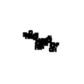 CC(C)C(=O)Nc1cncc(-c2ccc3[nH]nc(-c4nc5c(-c6cc(O)cc(F)c6)cncc5[nH]4)c3n2)c1